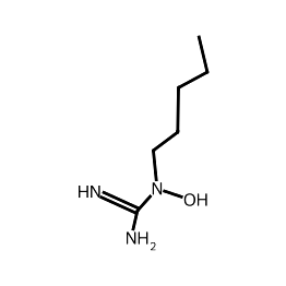 CCCCCN(O)C(=N)N